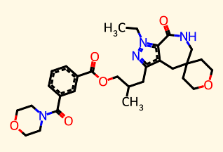 CCn1nc(CC(C)COC(=O)c2cccc(C(=O)N3CCOCC3)c2)c2c1C(=O)NCC1(CCOCC1)C2